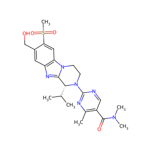 Cc1nc(N2CCn3c(nc4cc(CO)c(S(C)(=O)=O)cc43)[C@H]2C(C)C)ncc1C(=O)N(C)C